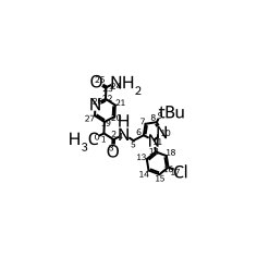 CC(C(=O)NCc1cc(C(C)(C)C)nn1-c1cccc(Cl)c1)c1ccc(C(N)=O)nc1